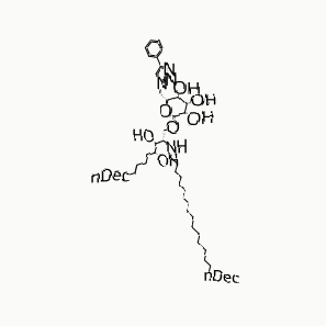 CCCCCCCCCCCCCCCCCCCCCCCCCCN[C@@H](CO[C@@H]1O[C@H](Cn2cc(-c3ccccc3)nn2)[C@H](O)[C@H](O)[C@H]1O)[C@H](O)[C@H](O)CCCCCCCCCCCCCC